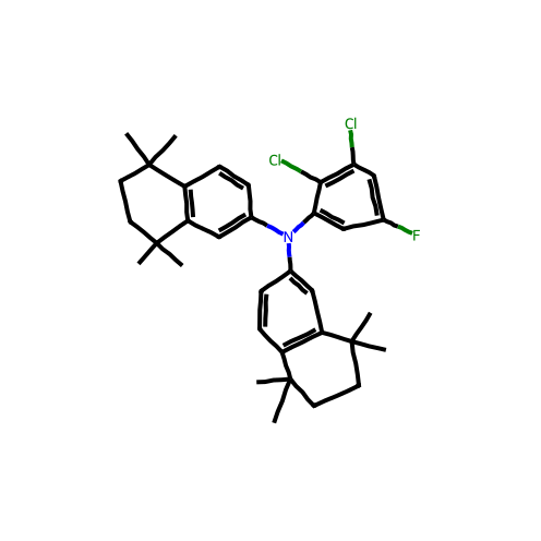 CC1(C)CCC(C)(C)c2cc(N(c3ccc4c(c3)C(C)(C)CCC4(C)C)c3cc(F)cc(Cl)c3Cl)ccc21